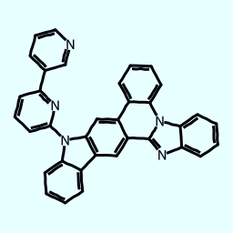 c1cncc(-c2cccc(-n3c4ccccc4c4cc5c(cc43)c3ccccc3n3c4ccccc4nc53)n2)c1